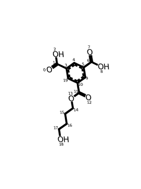 O=C(O)c1cc(C(=O)O)cc(C(=O)OCCCCO)c1